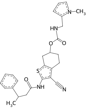 CC(CC(=O)Nc1sc2c(c1C#N)CCC(OC(=O)NCc1cccn1C)C2)c1ccccc1